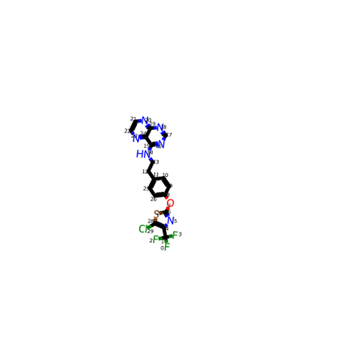 FC(F)(F)c1nc(Oc2ccc(CCNc3ncnc4nccnc34)cc2)sc1Cl